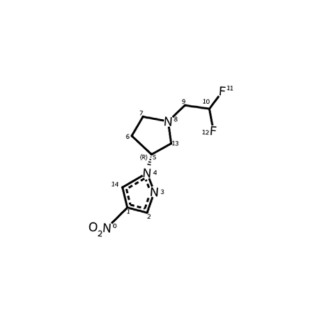 O=[N+]([O-])c1cnn([C@@H]2CCN(CC(F)F)C2)c1